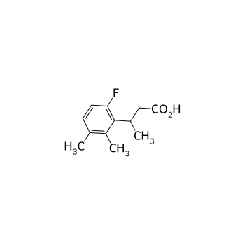 Cc1ccc(F)c(C(C)CC(=O)O)c1C